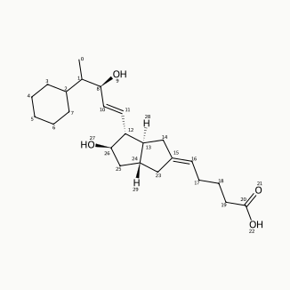 CC(C1CCCCC1)[C@@H](O)/C=C/[C@@H]1[C@H]2C/C(=C/CCCC(=O)O)C[C@@H]2C[C@H]1O